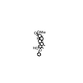 COC(=O)[C@]1(C)CC[C@]2(C)CC[C@]3(C)C4=CC(C)c5c(cc(O)c(OCc6ccccc6)c5C)[C@]4(C)CC[C@@]3(C)[C@@H]2C1